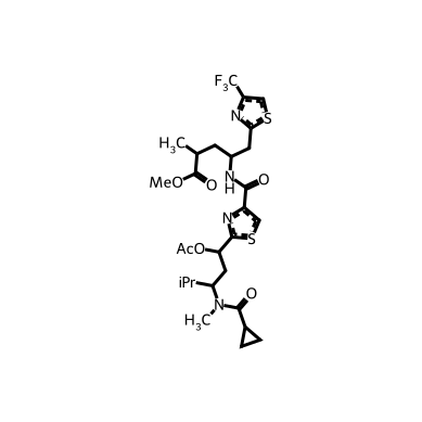 COC(=O)C(C)CC(Cc1nc(C(F)(F)F)cs1)NC(=O)c1csc(C(CC(C(C)C)N(C)C(=O)C2CC2)OC(C)=O)n1